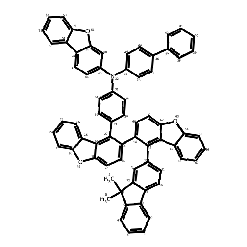 CC1(C)c2ccccc2-c2ccc(-c3c(-c4ccc5oc6ccccc6c5c4-c4ccc(N(c5ccc(-c6ccccc6)cc5)c5ccc6c(c5)oc5ccccc56)cc4)ccc4oc5ccccc5c34)cc21